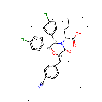 CCCC(C(=O)O)N1C(=O)[C@@H](Cc2ccc(C#N)cc2)O[C@H](c2ccc(Cl)cc2)[C@@H]1c1ccc(Cl)cc1